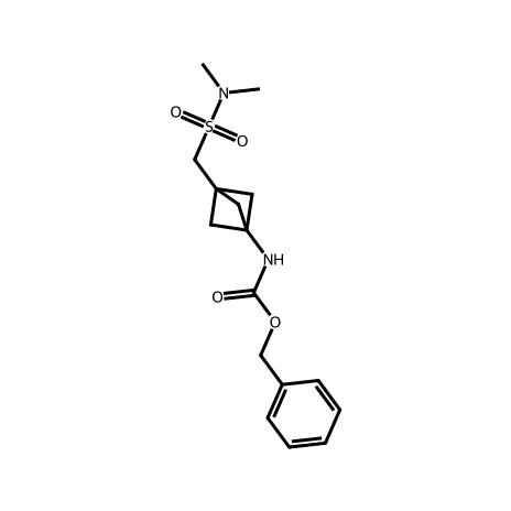 CN(C)S(=O)(=O)CC12CC(NC(=O)OCc3ccccc3)(C1)C2